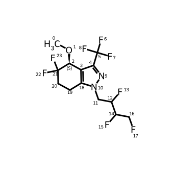 CO[C@H]1c2c(C(F)(F)F)nn(CC(F)C(F)CF)c2CCC1(F)F